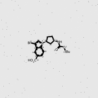 CC(C)(C)OC(=O)N[C@@H]1CC[C@H](n2cc(Br)c3cc(C(=O)O)ccc32)C1